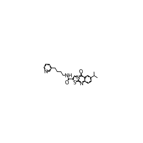 CC(C)c1ccc2nc3sc(C(=O)NCCCCc4cccnc4)cn3c(=O)c2c1